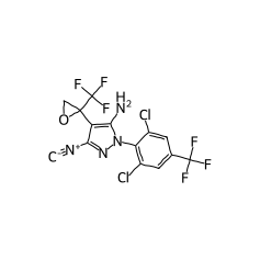 [C-]#[N+]c1nn(-c2c(Cl)cc(C(F)(F)F)cc2Cl)c(N)c1C1(C(F)(F)F)CO1